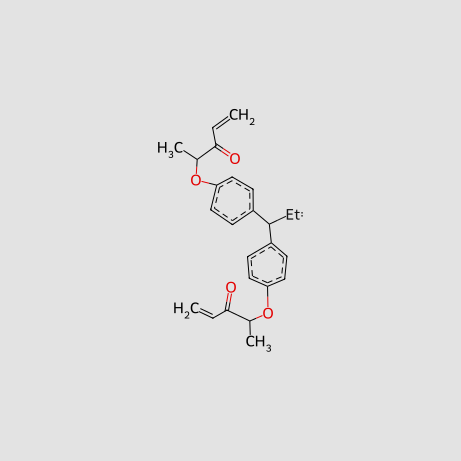 C=CC(=O)C(C)Oc1ccc(C([C]C)c2ccc(OC(C)C(=O)C=C)cc2)cc1